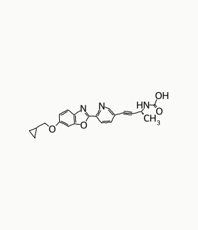 C[C@@H](C#Cc1ccc(-c2nc3ccc(OCC4CC4)cc3o2)nc1)NC(=O)O